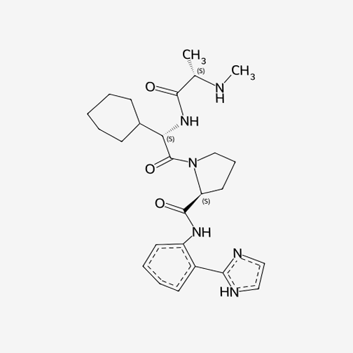 CN[C@@H](C)C(=O)N[C@H](C(=O)N1CCC[C@H]1C(=O)Nc1ccccc1-c1ncc[nH]1)C1CCCCC1